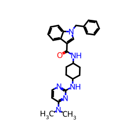 CN(C)c1ccnc(NC2CCC(NC(=O)c3cn(Cc4ccccc4)c4ccccc34)CC2)n1